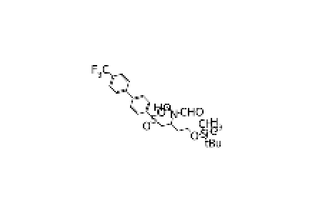 CC(C)(C)[Si](C)(C)OCCC(CS(=O)(=O)c1ccc(-c2ccc(C(F)(F)F)cc2)cc1)N(O)C=O